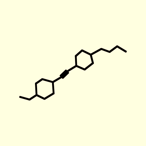 CCCCC1CCC(C#CC2CCC(CC)CC2)CC1